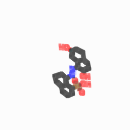 O=S(=O)(O)c1cccc2cccc(/N=N/c3c(O)ccc4ccc(O)cc34)c12